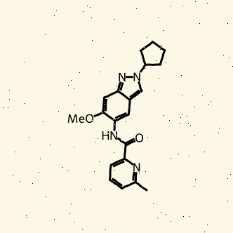 COc1cc2nn(C3CCCC3)cc2cc1NC(=O)c1cccc(C)n1